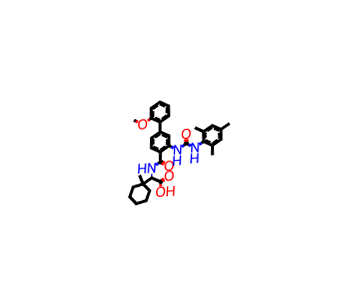 COc1ccccc1-c1ccc(C(=O)N[C@H](C(=O)O)C2(C)CCCCC2)c(NC(=O)Nc2c(C)cc(C)cc2C)c1